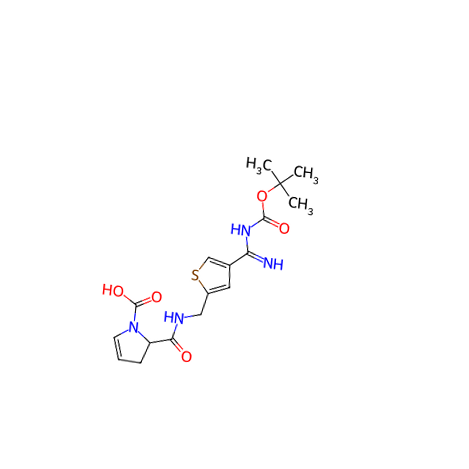 CC(C)(C)OC(=O)NC(=N)c1csc(CNC(=O)C2CC=CN2C(=O)O)c1